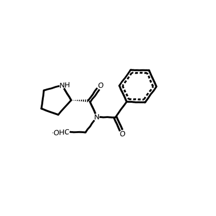 O=[C]CN(C(=O)c1ccccc1)C(=O)[C@@H]1CCCN1